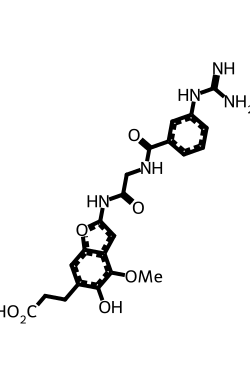 COc1c(O)c(CCC(=O)O)cc2oc(NC(=O)CNC(=O)c3cccc(NC(=N)N)c3)cc12